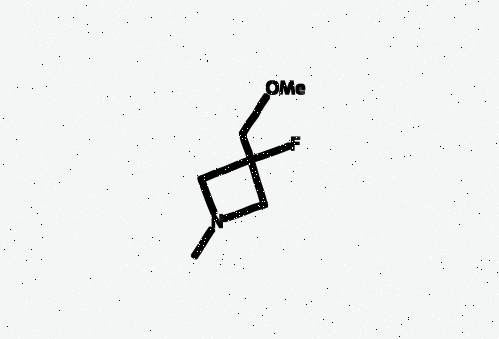 COCC1(F)CN(C)C1